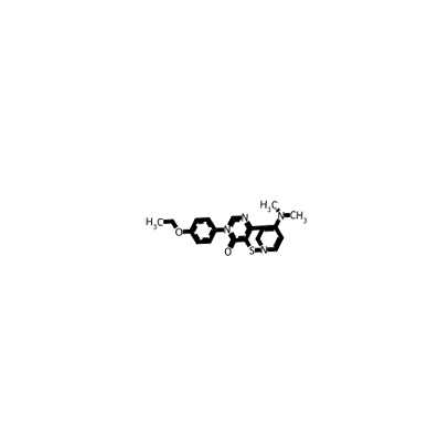 CCOc1ccc(-n2cnc3c(c2=O)SN2C=CC(N(C)C)=C3C2)cc1